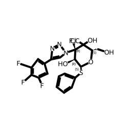 OC[C@@H]1O[C@@H](Sc2ccccc2)[C@@H](O)[C@](Cl)(n2cc(-c3cc(F)c(F)c(F)c3)nn2)C1(O)C(F)(F)F